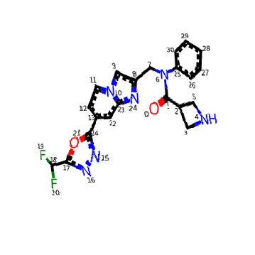 O=C(C1CNC1)N(Cc1cn2ccc(-c3nnc(C(F)F)o3)cc2n1)c1ccccc1